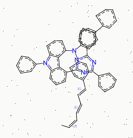 C\C=C/C=C/C=C/c1ccc(N(c2ccc(-c3ccccc3)cc2)c2cccc3c2c2c(-c4nc(-c5ccccc5)nc(-c5ccccc5)n4)cccc2n3-c2ccccc2)cc1